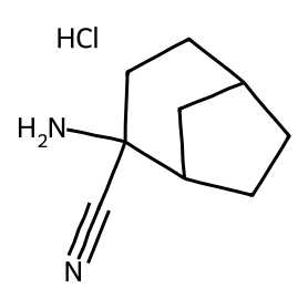 Cl.N#CC1(N)CCC2CCC1C2